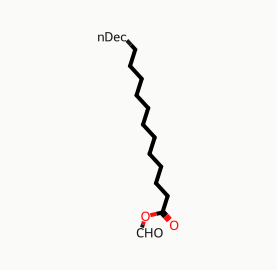 CCCCCCCCCCCCCCCCCCCCCC(=O)OC=O